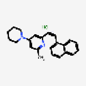 Cc1cc(N2CCCCC2)cc(/C=C\c2cccc3ccccc23)n1.Cl